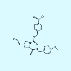 COc1ccc(COC(=O)[C@H]2C[C@H](OC=O)CN2C(=O)OCc2ccc([N+](=O)[O-])cc2)cc1